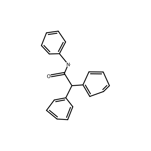 O=C([N]c1ccccc1)C(c1ccccc1)c1ccccc1